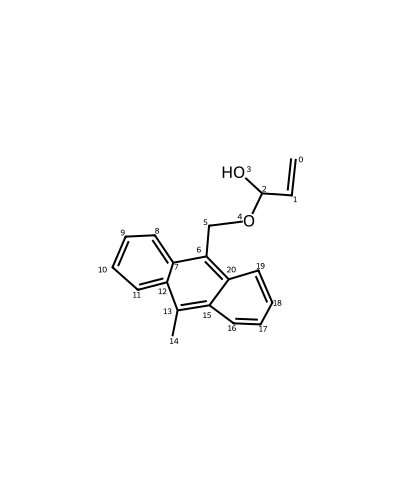 C=CC(O)OCc1c2ccccc2c(C)c2ccccc12